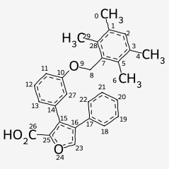 Cc1cc(C)c(C)c(COc2cccc(-c3c(-c4ccccc4)coc3C(=O)O)c2)c1C